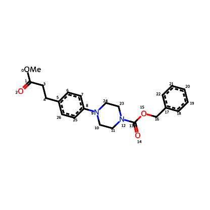 COC(=O)CCc1ccc(N2CCN(C(=O)OCc3ccccc3)CC2)cc1